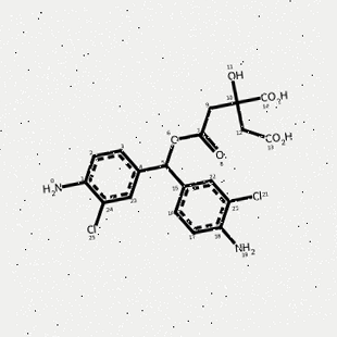 Nc1ccc(C(OC(=O)CC(O)(CC(=O)O)C(=O)O)c2ccc(N)c(Cl)c2)cc1Cl